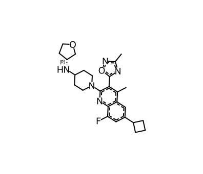 Cc1noc(-c2c(N3CCC(N[C@@H]4CCOC4)CC3)nc3c(F)cc(C4CCC4)cc3c2C)n1